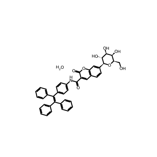 O.O=C(Nc1ccc(C(=C(c2ccccc2)c2ccccc2)c2ccccc2)cc1)c1cc2ccc([C@@H]3O[C@H](CO)[C@H](O)[C@H](O)[C@H]3O)cc2oc1=O